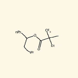 CCCC(CC(C)C)OC(=O)C(C)(CC)C(F)(F)F